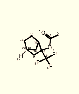 CC(=O)OC1(C(F)(F)F)C[C@H]2CCC1C2